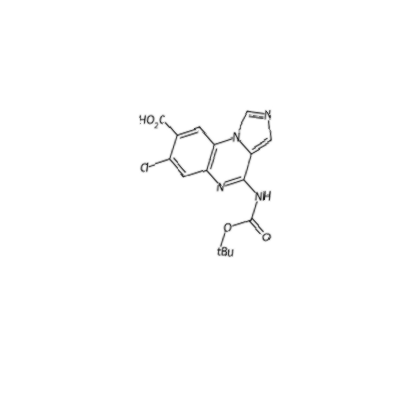 CC(C)(C)OC(=O)Nc1nc2cc(Cl)c(C(=O)O)cc2n2cncc12